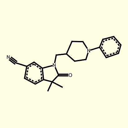 CC1(C)C(=O)N(CC2CCN(c3ccccc3)CC2)c2cc(C#N)ccc21